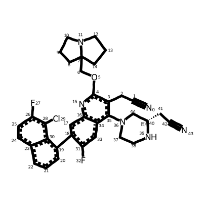 N#CCc1c(OCC23CCCN2CCC3)nc2cc(-c3cccc4ccc(F)c(Cl)c34)c(F)cc2c1N1CCN[C@@H](CC#N)C1